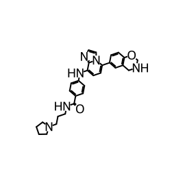 O=C(NCCCN1CCCC1)c1ccc(Nc2ccc(-c3ccc4c(c3)CNCO4)n3ccnc23)cc1